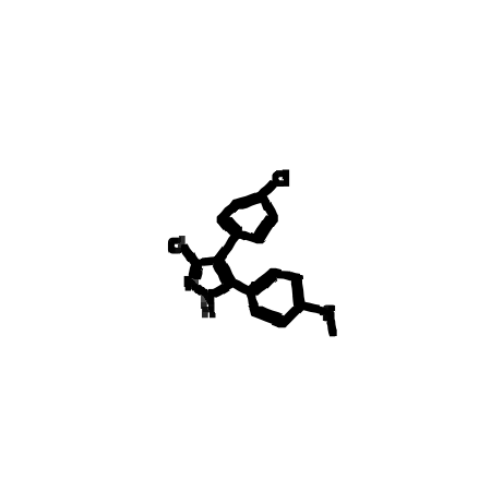 CSc1ccc(-c2[nH]nc(Cl)c2-c2ccc(Cl)cc2)cc1